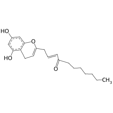 CCCCCCCC(=O)C=CCC1=CCc2c(O)cc(O)cc2O1